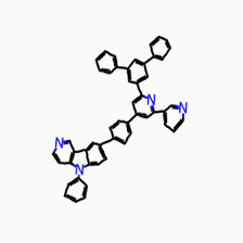 c1ccc(-c2cc(-c3ccccc3)cc(-c3cc(-c4ccc(-c5ccc6c(c5)c5cnccc5n6-c5ccccc5)cc4)cc(-c4cccnc4)n3)c2)cc1